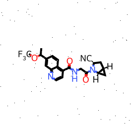 CC(OC(F)(F)F)c1ccc2c(C(=O)NCC(=O)N3[C@H](C#N)C[C@@H]4C[C@@H]43)ccnc2c1